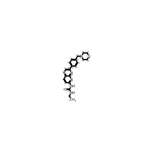 CCNC(=O)Nc1ccc2ncc(-c3ccc(CN4CCOCC4)cc3)nc2n1